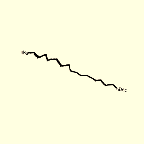 CCCCC=CCCCCCCCCCCCCCCCCCCCCCCC